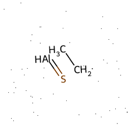 [AlH]=[S].[CH2]C